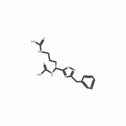 O=C(O)NCCC[C@H](NC(=O)O)c1nc(Cc2ccccc2)no1